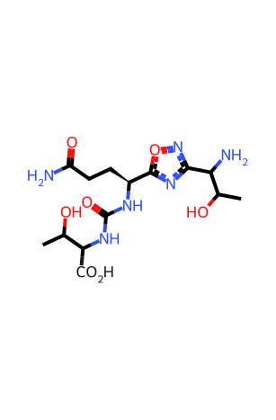 CC(O)C(NC(=O)N[C@@H](CCC(N)=O)c1nc(C(N)C(C)O)no1)C(=O)O